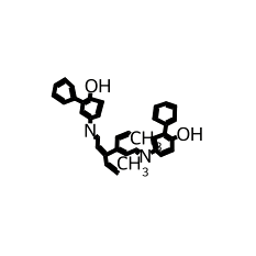 C\C=C/C(=C/C=N/c1ccc(O)c(-c2ccccc2)c1)C(/C=C\C)=C/C=N/c1ccc(O)c(-c2ccccc2)c1